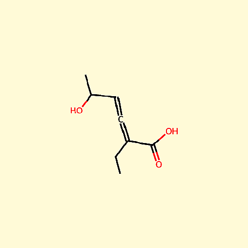 CCC(=C=CC(C)O)C(=O)O